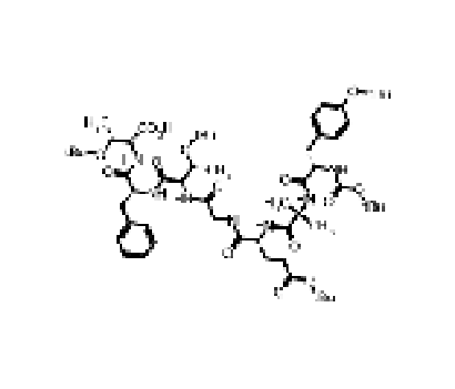 C[C@@H](OC(C)(C)C)[C@H](NC(=O)[C@H](Cc1ccccc1)NC(=O)[C@@H](NC(=O)CNC(=O)[C@H](CCC(=O)OC(C)(C)C)NC(=O)C(C)(C)NC(=O)[C@H](Cc1ccc(OC(C)(C)C)cc1)NC(=O)OC(C)(C)C)[C@@H](C)OC(C)(C)C)C(=O)O